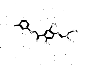 CCN(C)C=Nc1cc(C)c(C(=O)COc2cccc(F)c2)cc1C